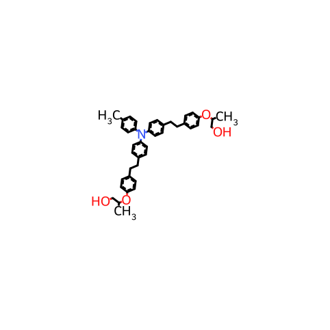 Cc1ccc(N(c2ccc(CCc3ccc(OC(C)CO)cc3)cc2)c2ccc(CCc3ccc(OC(C)CO)cc3)cc2)cc1